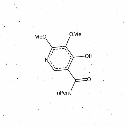 CCCCCC(=O)c1cnc(OC)c(OC)c1O